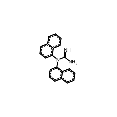 N=C(N)N(c1cccc2ccccc12)c1cccc2ccccc12